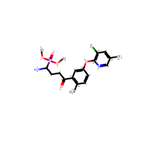 CCOP(=O)(OCC)C(N)CCC(=O)c1cc(Oc2ncc(C(F)(F)F)cc2Cl)ccc1[N+](=O)[O-]